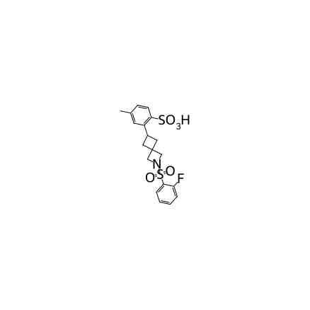 Cc1ccc(S(=O)(=O)O)c(C2CC3(C2)CN(S(=O)(=O)c2ccccc2F)C3)c1